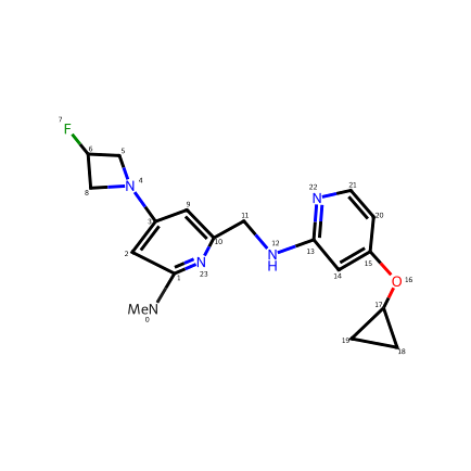 CNc1cc(N2CC(F)C2)cc(CNc2cc(OC3CC3)ccn2)n1